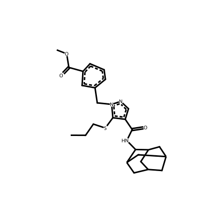 CCCSc1c(C(=O)NC2C3CC4CC(C3)CC2C4)cnn1Cc1cccc(C(=O)OC)c1